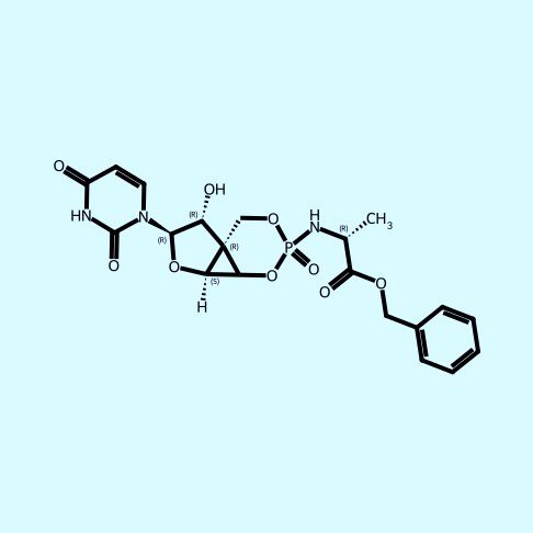 C[C@@H](NP1(=O)OC[C@]23C(O1)[C@H]2O[C@@H](n1ccc(=O)[nH]c1=O)[C@@H]3O)C(=O)OCc1ccccc1